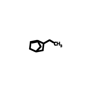 CCC1CC2CC=C1C2